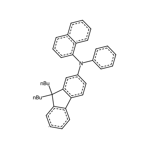 CCCCC1(CCCC)c2c[c]ccc2-c2ccc(N(c3ccccc3)c3cccc4ccccc34)cc21